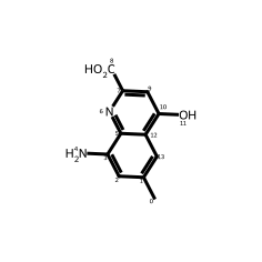 Cc1cc(N)c2nc(C(=O)O)cc(O)c2c1